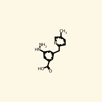 Cc1ccc(Cc2cc(NN)cc(C(=O)O)c2)nc1